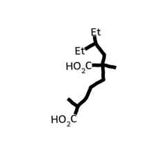 CCC(CC)CC(C)(CCCC(C)C(=O)O)C(=O)O